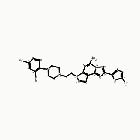 Nc1nc2c(cnn2CCN2CCN(c3ccc(F)cc3F)CC2)c2nc(-c3ccc(Br)o3)nn12